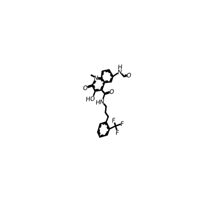 Cn1c(=O)c(O)c(C(=O)NCCCc2ccccc2C(F)(F)F)c2cc(NC=O)ccc21